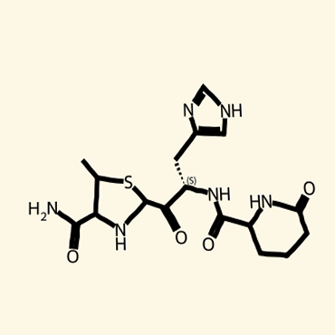 CC1SC(C(=O)[C@H](Cc2c[nH]cn2)NC(=O)C2CCCC(=O)N2)NC1C(N)=O